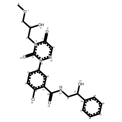 COCC(O)Cn1c(=O)cnn(-c2ccc(Cl)c(C(=O)NCC(O)c3ccccc3)c2)c1=O